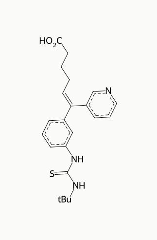 CC(C)(C)NC(=S)Nc1cccc(/C(=C/CCCC(=O)O)c2cccnc2)c1